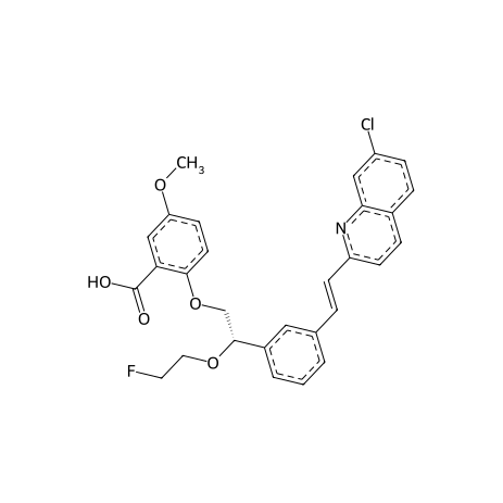 COc1ccc(OC[C@@H](OCCF)c2cccc(/C=C/c3ccc4ccc(Cl)cc4n3)c2)c(C(=O)O)c1